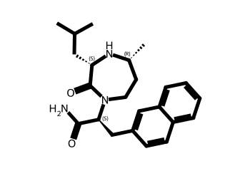 CC(C)C[C@@H]1N[C@H](C)CCN([C@@H](Cc2ccc3ccccc3c2)C(N)=O)C1=O